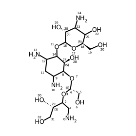 NCC(O[C@@H](CO)OC1C(N)CC(N)C(OC2O[C@H](CO)C(O)C(N)[C@H]2O)[C@H]1O)[C@@H](O)CO